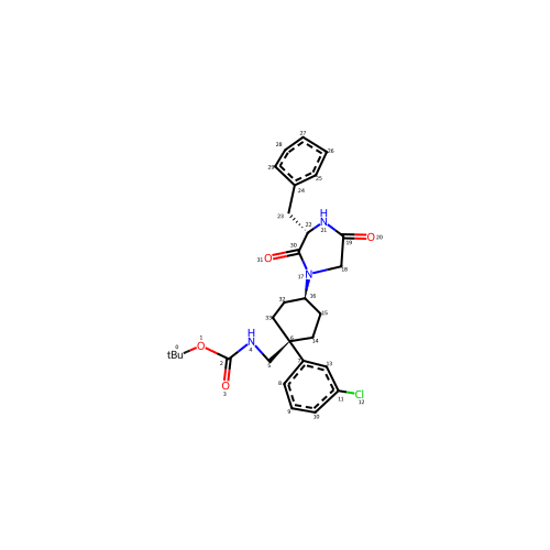 CC(C)(C)OC(=O)NC[C@]1(c2cccc(Cl)c2)CC[C@H](N2CC(=O)N[C@@H](Cc3ccccc3)C2=O)CC1